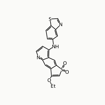 CCOC1=CS(=O)(=O)c2cc3c(Nc4ccc5scnc5c4)ccnc3cc21